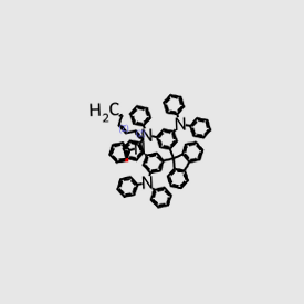 C=C/C=C\C=C/N(c1ccccc1)c1cc(N(c2ccccc2)c2ccccc2)cc(C2(c3cc(N(c4ccccc4)c4ccccc4)cc(N(c4ccccc4)c4ccccc4)c3)c3ccccc3-c3ccccc32)c1